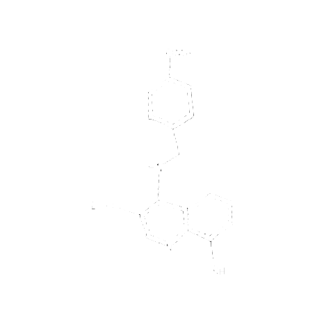 CCOC(=O)c1cnc2c(N)cccc2c1NCc1ccc(OC)cc1